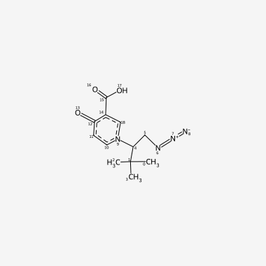 CC(C)(C)C(CN=[N+]=[N-])n1ccc(=O)c(C(=O)O)c1